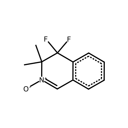 CC1(C)[N+]([O-])=Cc2ccccc2C1(F)F